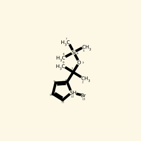 CC(C)(O[Si](C)(C)C)C1=CC=C[SH]1Br